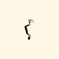 C=N/C=C\SN